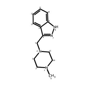 CN1CCN(Cc2n[nH]c3ccccc23)CC1